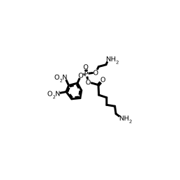 NCCCCCC(=O)OP(=O)(OCCN)Oc1cccc([N+](=O)[O-])c1[N+](=O)[O-]